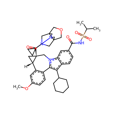 COc1ccc2c(c1)[C@@H]1C[C@]1(C(=O)N1CC34COCC3(C1)CN(C1CC1)C4)Cn1c-2c(C2CCCCC2)c2ccc(C(=O)NS(=O)(=O)C(C)C)cc21